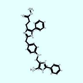 COC(=O)CCc1nc(Cc2ccc(OCc3nc(-c4ccccc4)oc3C)cc2)oc1-c1ccccc1